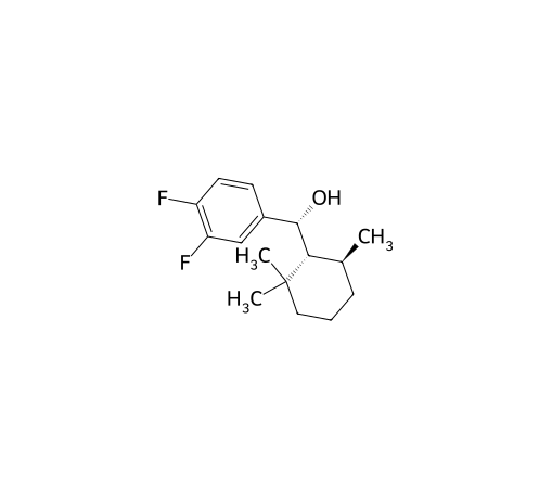 C[C@H]1CCCC(C)(C)[C@@H]1[C@@H](O)c1ccc(F)c(F)c1